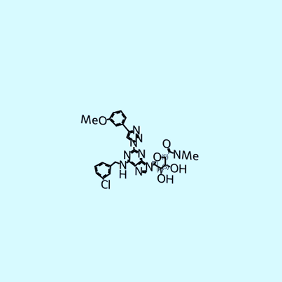 CNC(=O)[C@H]1O[C@@H](n2cnc3c(NCc4cccc(Cl)c4)nc(-n4cc(-c5cccc(OC)c5)nn4)nc32)[C@H](O)[C@@H]1O